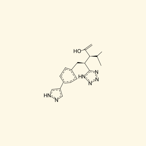 C=C(O)[C@@H](C(C)C)[C@H](Cc1ccc(-c2cn[nH]c2)cc1)c1nnn[nH]1